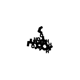 C/C=C\COCC1=C[C@@H]2C(=O)[C@]3(C=C(C)[C@H](OC(=O)/C(C)=C\C)[C@@]3(O)[C@@H]1O)[C@H](C)C[C@@H]1[C@H]2C1(C)C